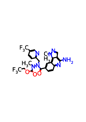 CN(C(=O)OCC(F)(F)F)N(Cc1ccc(C(F)(F)F)cn1)C(=O)c1ccc2nc(N)c3cnn(C)c3c2c1